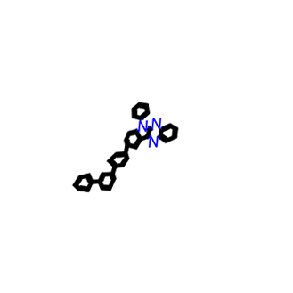 c1ccc(-c2cccc(-c3ccc(-c4ccc5c(c4)c4nc6ccccc6nc4n5-c4ccccc4)cc3)c2)cc1